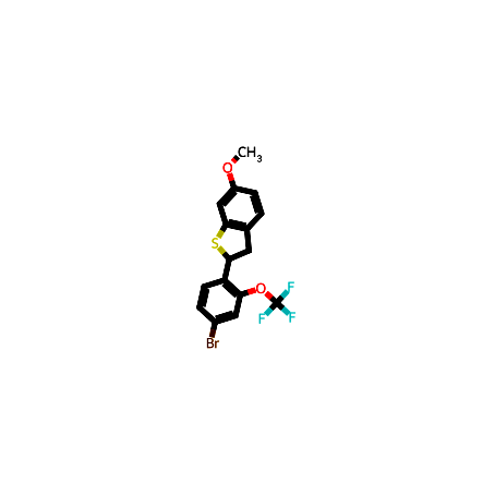 COc1ccc2c(c1)SC(c1ccc(Br)cc1OC(F)(F)F)C2